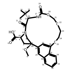 CO[C@@]12C[C@@H](C(=O)O)N(C1)C(=O)[C@H](C(C)(C)C)NC(=O)OCCCCCc1cc2cc2ccccc12